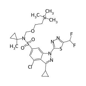 CC1(N(COCC[Si](C)(C)C)S(=O)(=O)c2cc(Cl)c3c(C4CC4)nn(-c4nnc(C(F)F)s4)c3c2)CC1